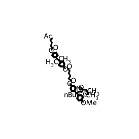 CCCCC(C1=NOC(C[Si](C)(C)C)C1)(c1ccc(OC)cc1)c1ccc(OC(=O)CCCCC(=O)Oc2ccc(C(C)(C)c3ccc(OC(=O)CCCCC(C)=O)cc3)cc2)cc1